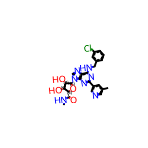 CNC(=O)[C@H]1O[C@H](n2cnc3c(NCc4cccc(Cl)c4)nc(-c4cncc(C)c4)nc32)[C@H](O)[C@@H]1O